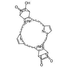 O=C1C(=O)C2C=CC1c1c2c2cc3nc(cc4[nH]c(cc5nc(cc1[nH]2)C=C5)c1c4C2C=CC1C(=O)C2O)C=C3